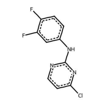 Fc1ccc(Nc2nccc(Cl)n2)cc1F